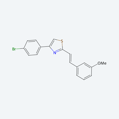 COc1cccc(C=Cc2nc(-c3ccc(Br)cc3)cs2)c1